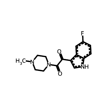 CN1CCN(C(=O)C(=O)c2c[nH]c3ccc(F)cc23)CC1